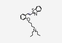 CCCN(CCC)CCCCOc1ccccc1/C=C/c1nc2ccccc2s1